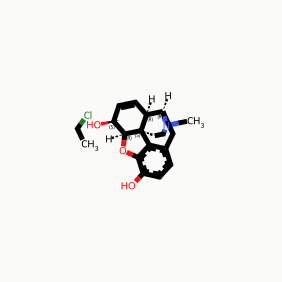 CCCl.CN1CC[C@]23c4c5ccc(O)c4O[C@H]2[C@@H](O)C=C[C@H]3[C@H]1C5